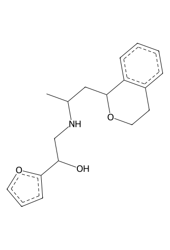 CC(CC1OCCc2ccccc21)NCC(O)c1ccco1